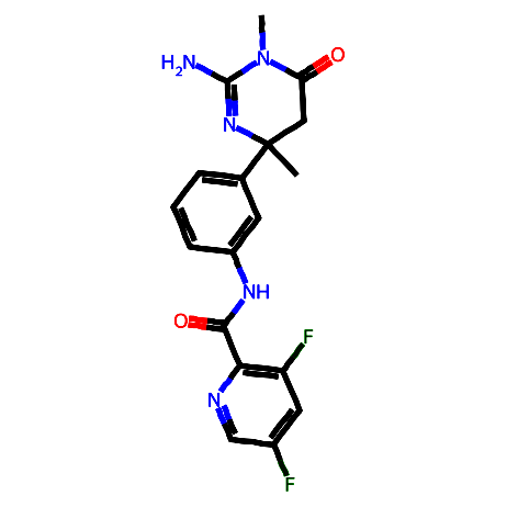 CN1C(=O)CC(C)(c2cccc(NC(=O)c3ncc(F)cc3F)c2)N=C1N